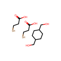 O=C(O)CCS.O=C(O)CCS.OCC1CCC(CO)CC1